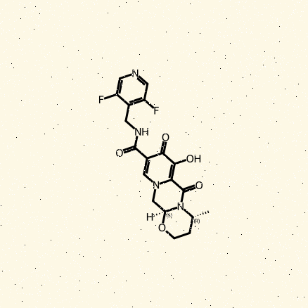 C[C@@H]1CCO[C@H]2Cn3cc(C(=O)NCc4c(F)cncc4F)c(=O)c(O)c3C(=O)N12